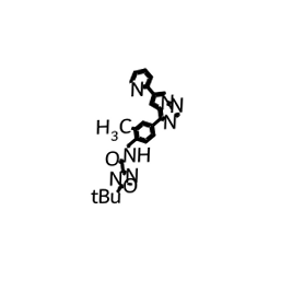 Cc1cc(-c2ncnn3cc(-c4ccccn4)cc23)ccc1CNC(=O)c1noc(C(C)(C)C)n1